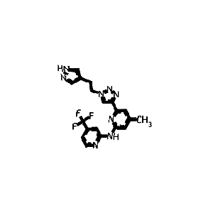 Cc1cc(Nc2cc(C(F)(F)F)ccn2)nc(-c2cn(CCc3cn[nH]c3)nn2)c1